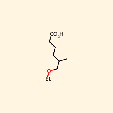 CCOCC(C)CCCC(=O)O